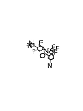 Cn1cc(-c2c(F)cc(NC(=O)c3cc(C#N)ccc3SC(F)(F)F)cc2F)cn1